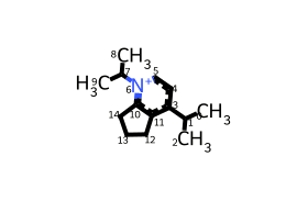 CC(C)c1cc[n+](C(C)C)c2c1CCC2